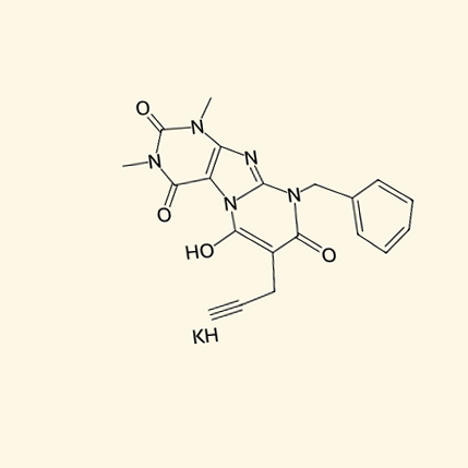 C#CCc1c(O)n2c3c(=O)n(C)c(=O)n(C)c3nc2n(Cc2ccccc2)c1=O.[KH]